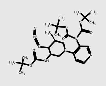 C[C@H]1CN(c2ccncc2N(C(=O)OC(C)(C)C)C(=O)OC(C)(C)C)CC(NC(=O)OC(C)(C)C)C1N=[N+]=[N-]